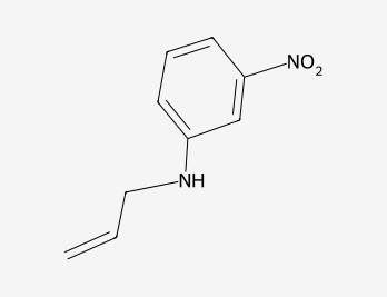 C=CCNc1cccc([N+](=O)[O-])c1